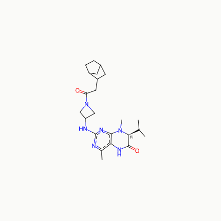 Cc1nc(NC2CN(C(=O)CC3CC4CCC3C4)C2)nc2c1NC(=O)[C@H](C(C)C)N2C